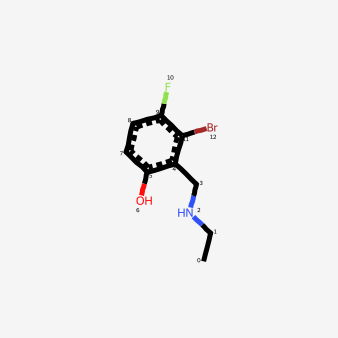 CCNCc1c(O)ccc(F)c1Br